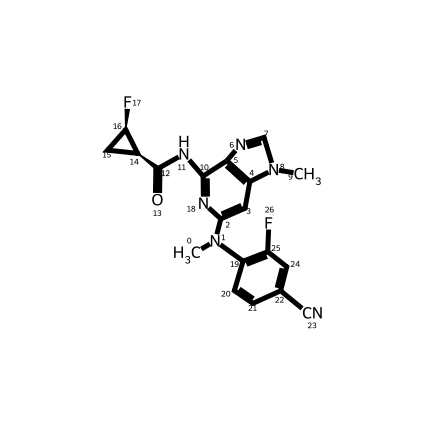 CN(c1cc2c(ncn2C)c(NC(=O)[C@H]2C[C@H]2F)n1)c1ccc(C#N)cc1F